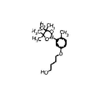 Cc1ccc(OCCCCO)cc1B1OC(C)(C)C(C)(C)O1